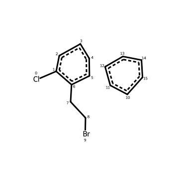 Clc1ccccc1CCBr.c1ccccc1